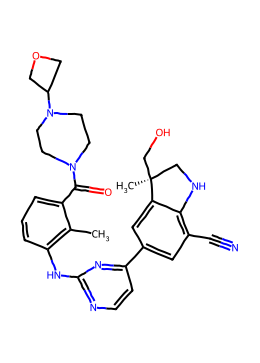 Cc1c(Nc2nccc(-c3cc(C#N)c4c(c3)[C@@](C)(CO)CN4)n2)cccc1C(=O)N1CCN(C2COC2)CC1